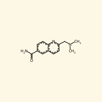 CN(C)Cc1ccc2cc(C(N)=O)ccc2n1